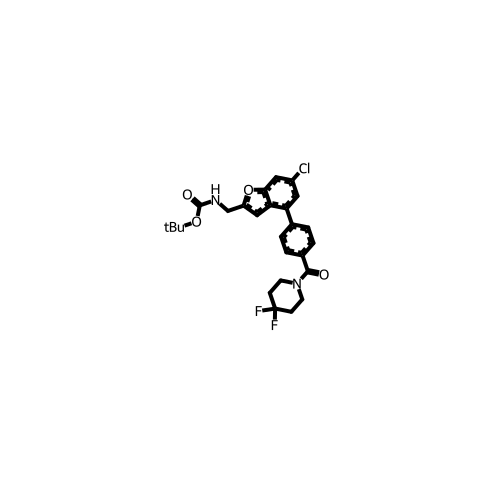 CC(C)(C)OC(=O)NCc1cc2c(-c3ccc(C(=O)N4CCC(F)(F)CC4)cc3)cc(Cl)cc2o1